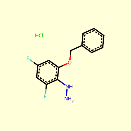 Cl.NNc1c(F)cc(F)cc1OCc1ccccc1